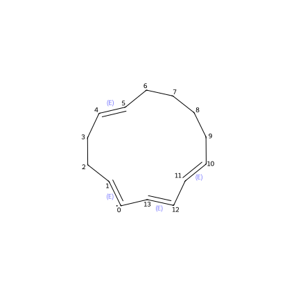 [C]1=C/CC/C=C/CCCC/C=C/C=C/1